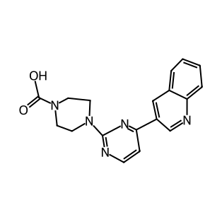 O=C(O)N1CCN(c2nccc(-c3cnc4ccccc4c3)n2)CC1